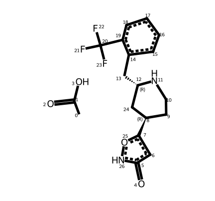 CC(=O)O.O=c1cc([C@@H]2CCN[C@@H](Cc3ccccc3C(F)(F)F)C2)o[nH]1